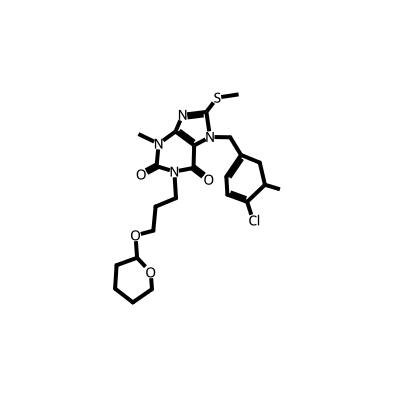 CSc1nc2c(c(=O)n(CCCOC3CCCCO3)c(=O)n2C)n1CC1=CC=C(Cl)C(C)C1